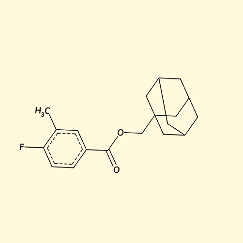 Cc1cc(C(=O)OCC23CC4CC(CC(C4)C2)C3)ccc1F